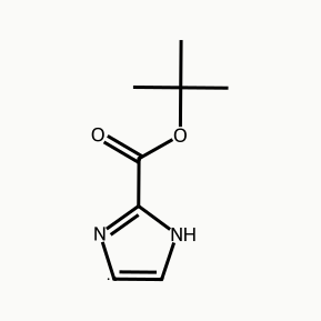 CC(C)(C)OC(=O)c1n[c]c[nH]1